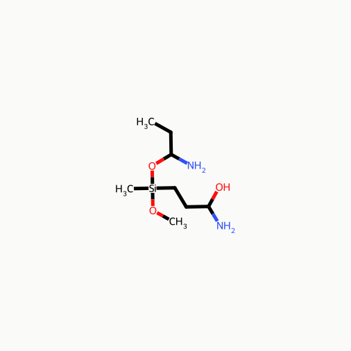 CCC(N)O[Si](C)(CCC(N)O)OC